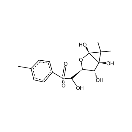 Cc1ccc(S(=O)(=O)C(O)[C@H]2O[C@]3(O)C(C)(C)[C@]3(O)[C@@H]2O)cc1